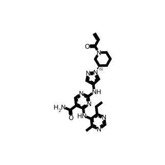 C=CC(=O)N1CCC[C@H](n2cc(Nc3ncc(C(N)=O)c(Nc4c(C)ncnc4CC)n3)cn2)C1